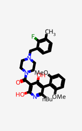 CCCCc1nc(O)c(C(=O)N2CCN(Cc3cccc(C)c3F)CC2)c(O)c1-c1c(OC)cccc1OC